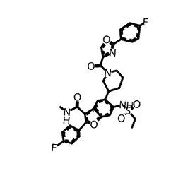 CCS(=O)(=O)Nc1cc2oc(-c3ccc(F)cc3)c(C(=O)NC)c2cc1C1CCCN(C(=O)c2coc(-c3ccc(F)cc3)n2)C1